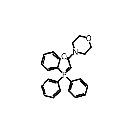 O=C(C=P(c1ccccc1)(c1ccccc1)c1ccccc1)N1CCOCC1